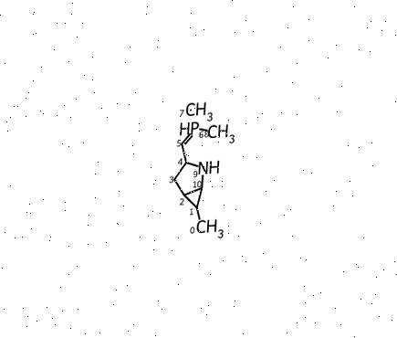 CC1C2CC(C=[PH](C)C)NC12